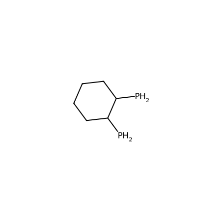 PC1CCCCC1P